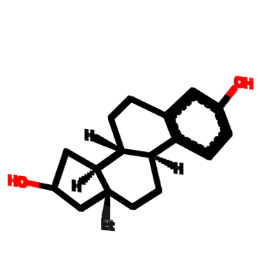 CC[C@]12CC[C@@H]3c4ccc(O)cc4CC[C@H]3[C@@H]1CC(O)C2